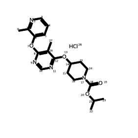 Cc1ncccc1Oc1ncnc(OC2CCN(C(=O)OC(C)C)CC2)c1C.Cl